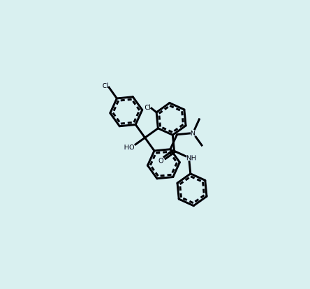 CN(C)Cc1ccccc1C(O)(c1ccc(Cl)cc1)c1c(Cl)cccc1C(=O)Nc1ccccc1